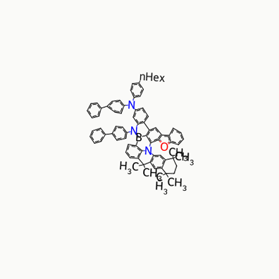 CCCCCCc1ccc(N(c2ccc(-c3ccccc3)cc2)c2ccc3c(c2)N(c2ccc(-c4ccccc4)cc2)B2c4cccc5c4N(c4cc6c(cc4C5(C)C)C(C)(C)CCC6(C)C)c4c2c-3cc2c4oc3ccccc32)cc1